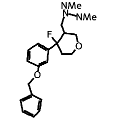 CNN(CC1COCCC1(F)c1cccc(OCc2ccccc2)c1)NC